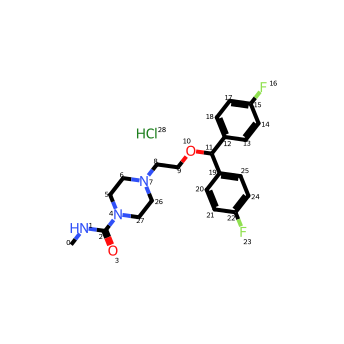 CNC(=O)N1CCN(CCOC(c2ccc(F)cc2)c2ccc(F)cc2)CC1.Cl